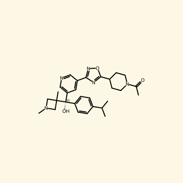 CC(=O)N1CCC(c2nc(-c3cncc([C@@](O)(c4ccc(C(C)C)cc4)C4(C)CN(C)C4)c3)no2)CC1